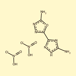 Nc1nc(-c2nnc(N)o2)n[nH]1.O=[N+]([O-])O.O=[N+]([O-])O